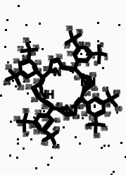 CC(C)(C)c1cc(-c2c3nc(c(-c4cc(C(C)(C)C)cc(C(C)(C)C)c4)c4ccc([nH]4)c(-c4cc(C(C)(C)C)cc(C(C)(C)C)c4)c4nc(c(-c5cc(C(C)(C)C)cc(C(C)(C)C)c5)c5ccc2[nH]5)C=C4)C=C3)cc(C(C)(C)C)c1